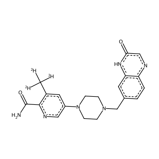 [2H]C([2H])([2H])c1cc(N2CCN(Cc3ccc4ncc(=O)[nH]c4c3)CC2)cnc1C(N)=O